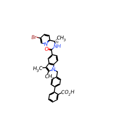 Cc1c(C)n(Cc2ccc(-c3ccccc3C(=O)O)cc2)c2ccc(C(=O)N[C@@H](C)c3ccc(Br)cn3)cc12